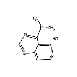 CN(C)c1ncnc2ccccc12.Cl